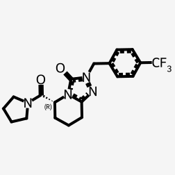 O=C([C@H]1CCCc2nn(Cc3ccc(C(F)(F)F)cc3)c(=O)n21)N1CCCC1